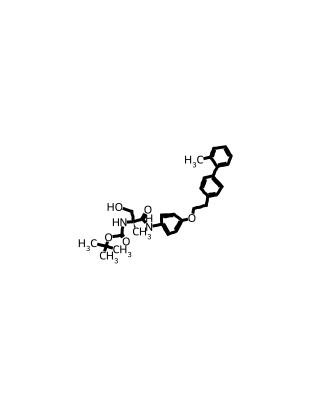 Cc1ccccc1-c1ccc(CCOc2ccc(NC(=O)[C@](C)(CO)NC(=O)OC(C)(C)C)cc2)cc1